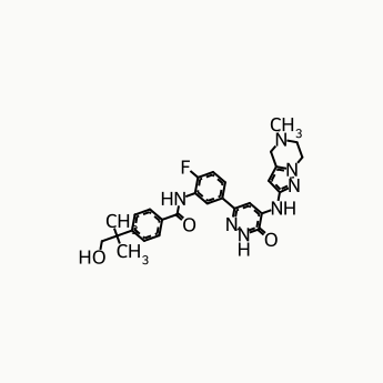 CN1CCn2nc(Nc3cc(-c4ccc(F)c(NC(=O)c5ccc(C(C)(C)CO)cc5)c4)n[nH]c3=O)cc2C1